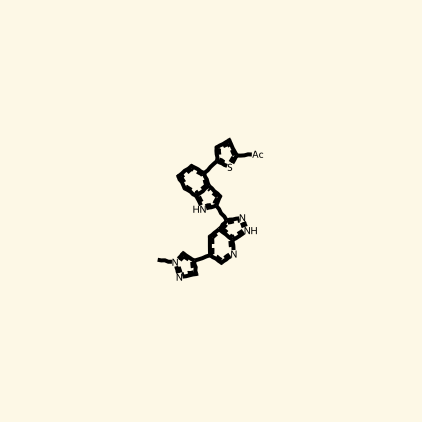 CC(=O)c1ccc(-c2cccc3[nH]c(-c4n[nH]c5ncc(-c6cnn(C)c6)cc45)cc23)s1